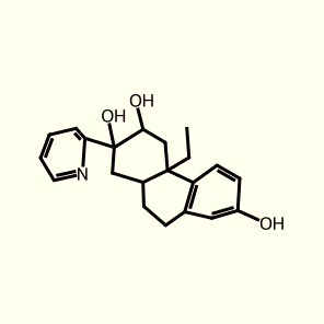 CCC12CC(O)C(O)(c3ccccn3)CC1CCc1cc(O)ccc12